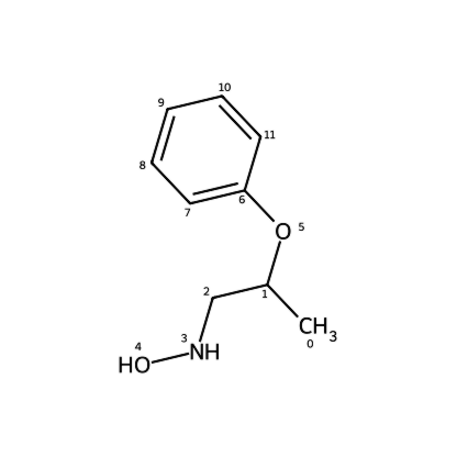 CC(CNO)Oc1ccccc1